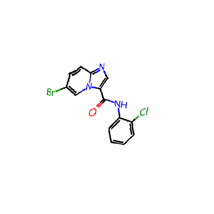 O=C(Nc1ccccc1Cl)c1cnc2ccc(Br)cn12